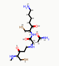 CNC(CS)C(=O)CCN[C@@H](CC(N)=O)C(=O)NC(CS)C(=O)CCCCN